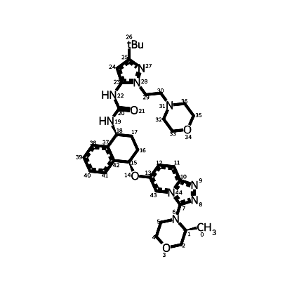 C[C@H]1COCCN1c1nnc2ccc(O[C@@H]3CC[C@H](NC(=O)Nc4cc(C(C)(C)C)nn4CCN4CCOCC4)c4ccccc43)cn12